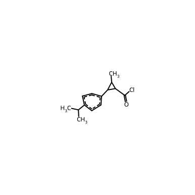 CC(C)c1ccc(C2C(C)C2C(=O)Cl)cc1